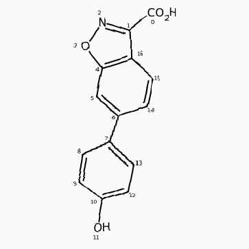 O=C(O)c1noc2cc(-c3ccc(O)cc3)ccc12